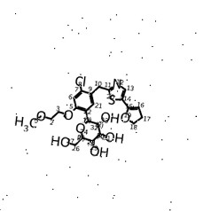 COCCOc1cc(Cl)c(Cc2ncc(C3=CCCO3)s2)cc1[C@@H]1O[C@H](CO)[C@@H](O)[C@H](O)[C@H]1O